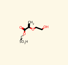 C=C(OCCO)C(=O)OCS(=O)(=O)O